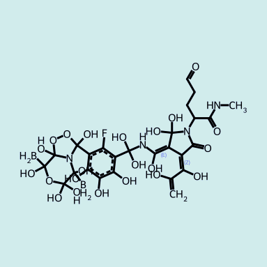 BC1(O)OC(O)(O)C(B)(O)N2C(O)(c3c(O)c(O)c(O)c(C(O)(O)N/C(O)=C4/C(=C(/O)C(=C)O)C(=O)N(C(CCC=O)C(=O)NC)C4(O)O)c3F)OOC21O